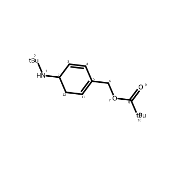 CC(C)(C)NC1C=CC(COC(=O)C(C)(C)C)=CC1